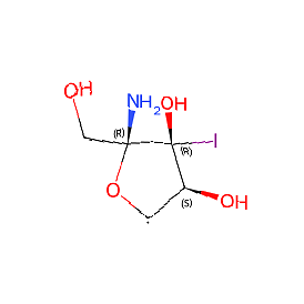 N[C@]1(CO)O[CH][C@H](O)[C@@]1(O)I